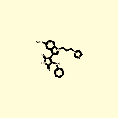 COc1ccc2c(c1)c(C1=C(Nc3ccccc3)C(=O)NC1=O)cn2CCCn1ccnc1